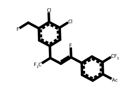 CC(=O)c1ccc(/C(F)=C/C(c2cc(Cl)c(Cl)c(CF)c2)C(F)(F)F)cc1C(F)(F)F